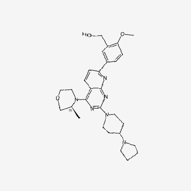 COc1ccc(-c2ccc3c(N4CCOC[C@@H]4C)nc(N4CCC(N5CCCC5)CC4)nc3n2)cc1CO